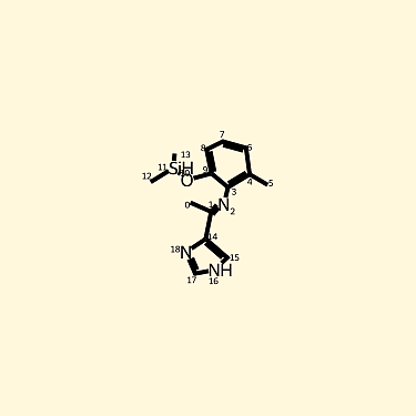 CC(=Nc1c(C)cccc1O[SiH](C)C)c1c[nH]cn1